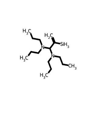 C=C([SiH3])C(N(CCC)CCC)N(CCC)CCC